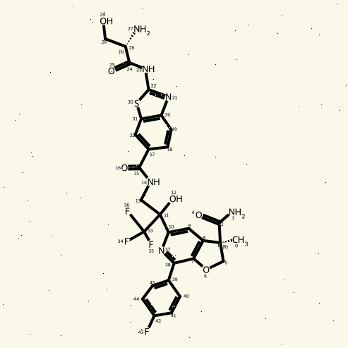 C[C@]1(C(N)=O)COc2c1cc(C(O)(CNC(=O)c1ccc3nc(NC(=O)[C@@H](N)CO)sc3c1)C(F)(F)F)nc2-c1ccc(F)cc1